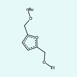 CCCCOCc1ccc(COCC)o1